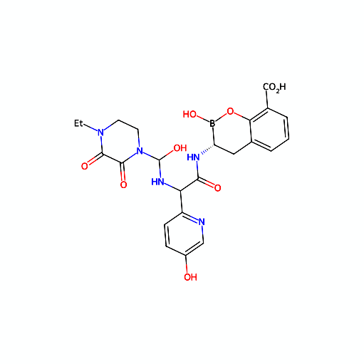 CCN1CCN(C(O)NC(C(=O)N[C@H]2Cc3cccc(C(=O)O)c3OB2O)c2ccc(O)cn2)C(=O)C1=O